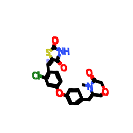 CN1C(=O)COCC1Cc1ccc(Oc2ccc(/C=C3/SC(=O)NC3=O)c(Cl)c2)cc1